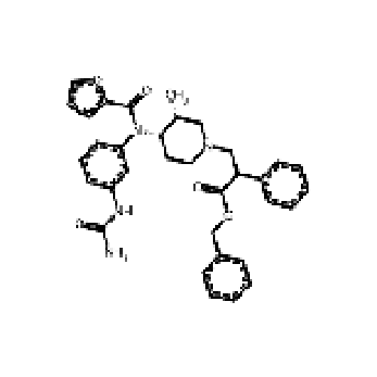 C[C@@H]1CN(CC(C(=O)OCc2ccccc2)c2ccccc2)CC[C@@H]1N(C(=O)c1ccco1)c1cccc(NC(N)=O)c1